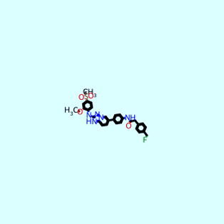 COc1cc(S(C)(=O)=O)ccc1Nc1nc2ccc(-c3ccc(NC(=O)Cc4ccc(CF)cc4)cc3)cn2n1